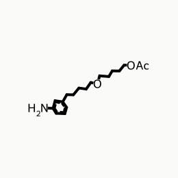 CC(=O)OCCCCCOCCCCCc1cccc(N)c1